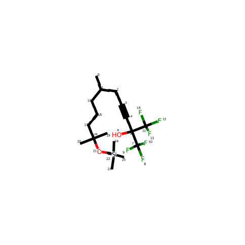 CC(CC#CC(O)(C(F)(F)F)C(F)(F)F)CCCC(C)(C)O[Si](C)(C)C